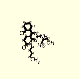 CCCCCn1c(=O)ccc2c(-c3ccccc3Cl)nc(NC(CO)CO)nc21